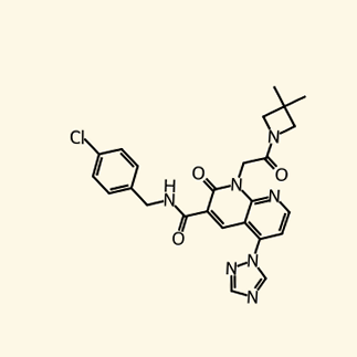 CC1(C)CN(C(=O)Cn2c(=O)c(C(=O)NCc3ccc(Cl)cc3)cc3c(-n4cncn4)ccnc32)C1